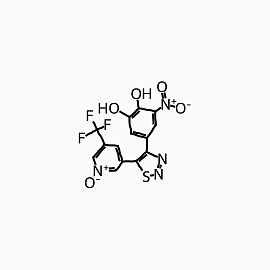 O=[N+]([O-])c1cc(-c2nnsc2-c2cc(C(F)(F)F)c[n+]([O-])c2)cc(O)c1O